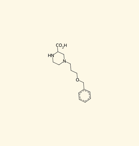 O=C(O)C1CN(CCCOCc2ccccc2)CCN1